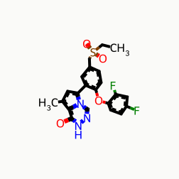 CCS(=O)(=O)Cc1ccc(Oc2ccc(F)cc2F)c(-c2cc(C)c3c(=O)[nH]ncn23)c1